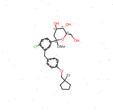 CCC1(COc2ccc(Cc3cc([C@]4(OC)C[C@@H](O)[C@H](O)[C@@H](CO)O4)ccc3Cl)cc2)CCCC1